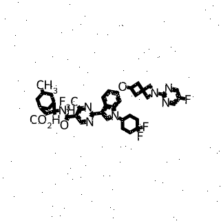 CC1CC2CC(C1)C(NC(=O)c1cnc(-c3cn(C4CCC(F)(F)CC4)c4cc(OC5CC6(C5)CN(c5ncc(F)cn5)C6)ccc34)nc1C(F)(F)F)(C(=O)O)C2